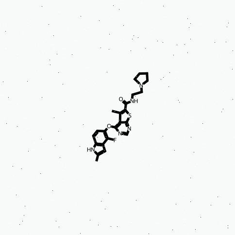 Cc1cc2c(F)c(Oc3ncnc4sc(C(=O)NCCN5CCCC5)c(C)c34)ccc2[nH]1